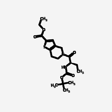 CCOC(=O)c1cc2c(s1)CCN(C(=O)[C@@H](CC)NC(=O)OC(C)(C)C)C2